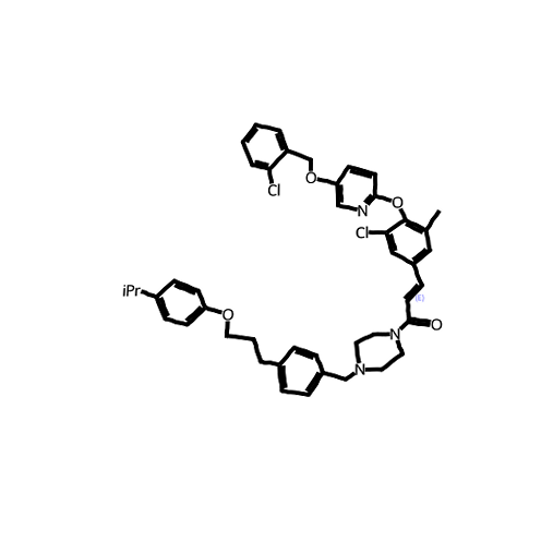 Cc1cc(/C=C/C(=O)N2CCN(Cc3ccc(CCCOc4ccc(C(C)C)cc4)cc3)CC2)cc(Cl)c1Oc1ccc(OCc2ccccc2Cl)cn1